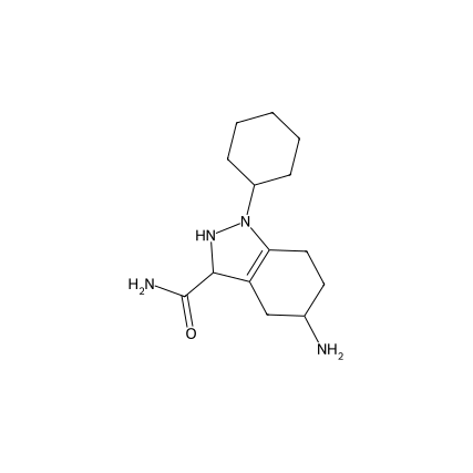 NC(=O)C1NN(C2CCCCC2)C2=C1CC(N)CC2